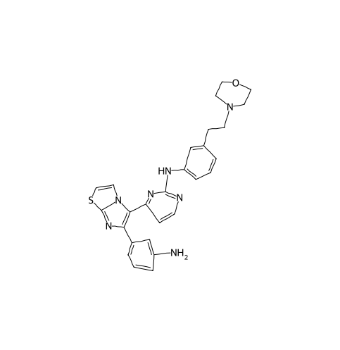 Nc1cccc(-c2nc3sccn3c2-c2ccnc(Nc3cccc(CCN4CCOCC4)c3)n2)c1